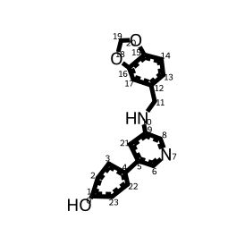 Oc1ccc(-c2cncc(NCc3ccc4c(c3)OCO4)c2)cc1